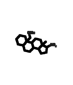 COCC12CCCCC1CCC1C3CCC([N+](=O)[O-])C3(C)CCC12